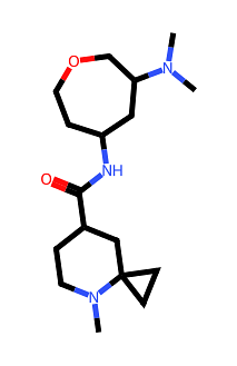 CN(C)C1COCCC(NC(=O)C2CCN(C)C3(CC3)C2)C1